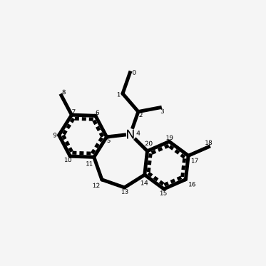 CCC(C)N1c2cc(C)ccc2CCc2ccc(C)cc21